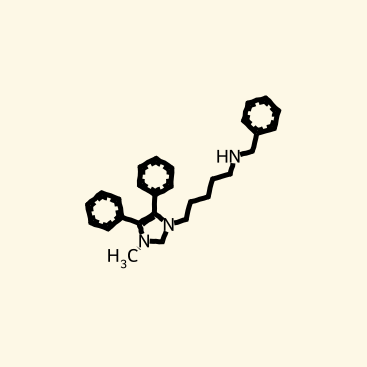 CN1CN(CCCCCNCc2ccccc2)C(c2ccccc2)=C1c1ccccc1